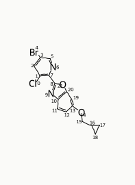 Clc1cc(Br)cnc1-c1nc2ccc(OCC3CC3)cc2o1